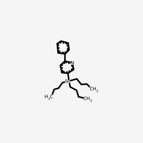 CCC[CH2][Sn]([CH2]CCC)([CH2]CCC)[c]1ccc(-c2ccccc2)nc1